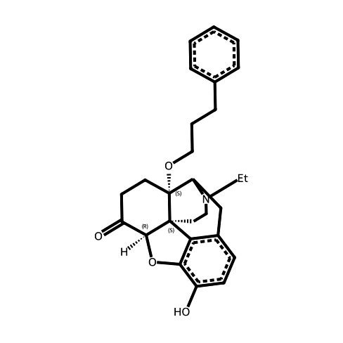 CCN1CC[C@]23c4c5ccc(O)c4O[C@H]2C(=O)CC[C@@]3(OCCCc2ccccc2)C1C5